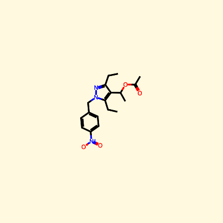 CCc1nn(Cc2ccc([N+](=O)[O-])cc2)c(CC)c1C(C)OC(C)=O